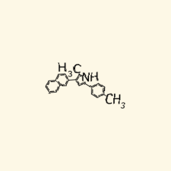 Cc1ccc(-c2cc(-c3ccc4ccccc4c3)c(C)[nH]2)cc1